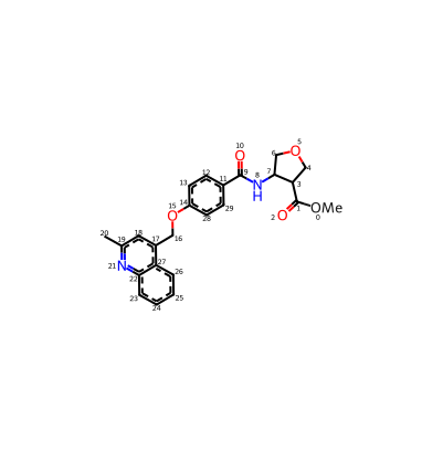 COC(=O)C1COCC1NC(=O)c1ccc(OCc2cc(C)nc3ccccc23)cc1